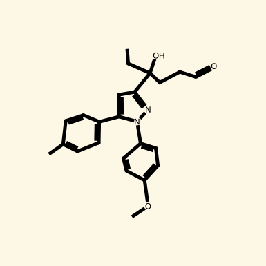 CCC(O)(CCC=O)c1cc(-c2ccc(C)cc2)n(-c2ccc(OC)cc2)n1